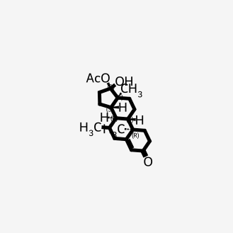 CC(=O)O[C@]1(O)CC[C@H]2[C@@H]3C(C)CC4=CC(=O)CC[C@]4(C)[C@H]3CC[C@@]21C